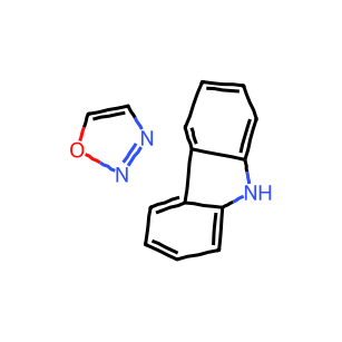 c1ccc2c(c1)[nH]c1ccccc12.c1conn1